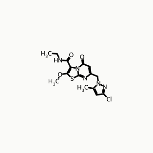 CCNC(=O)c1c(OC)sc2nc(Cn3nc(Cl)cc3C)cc(=O)n12